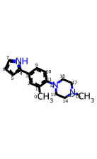 Cc1cc(-c2ccc[nH]2)ccc1N1CCN(C)CC1